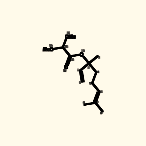 C=CC(C)(CCC=C(C)C)OC(=O)C(OC)OC